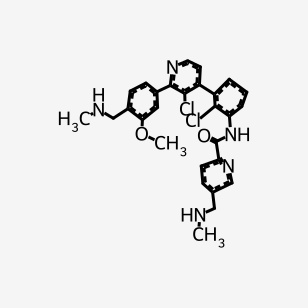 CNCc1ccc(C(=O)Nc2cccc(-c3ccnc(-c4ccc(CNC)c(OC)c4)c3Cl)c2Cl)nc1